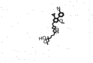 CCCC(C)(CCCC1=NOC2(C1)CC(Cc1cc(OCC)c(-c3cccc(C#N)c3)c(C3CC3)c1)C2)C(=O)O